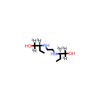 [2H]C([2H])(O)[C@@]([2H])(CC)NCCN[C@]([2H])(CC)C([2H])([2H])O